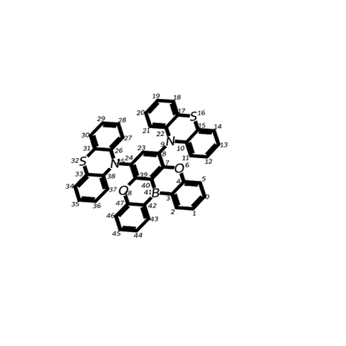 c1ccc2c(c1)Oc1c(N3c4ccccc4Sc4ccccc43)cc(N3c4ccccc4Sc4ccccc43)c3c1B2c1ccccc1O3